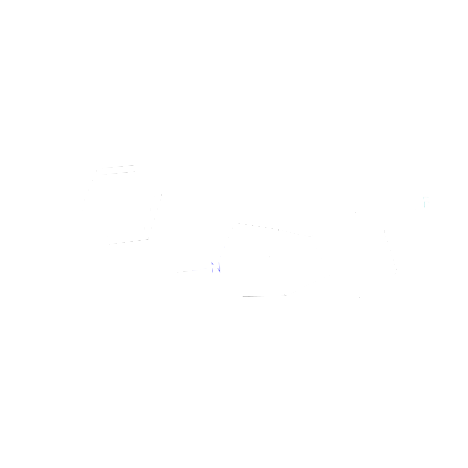 Fc1ccc2c(c1)C1CC2CN(Cc2ccccc2)C1